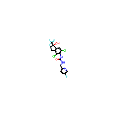 O=C(NCc1ccc(F)cn1)Nc1c(Cl)cc2c(c1Cl)CCC2(O)C(F)(F)F